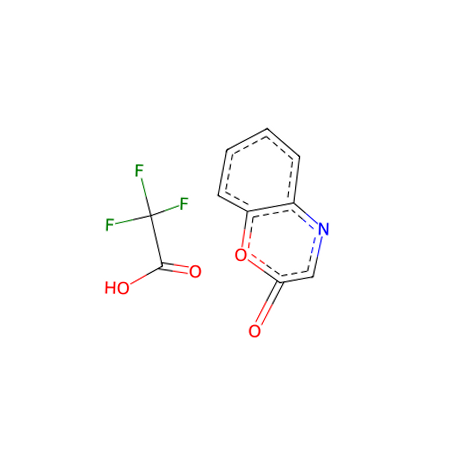 O=C(O)C(F)(F)F.O=c1cnc2ccccc2o1